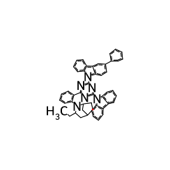 CCC1CC2CCC(C2)N1c1ccccc1-c1nc(-n2c3ccccc3c3ccccc32)nc(-n2c3ccccc3c3cc(-c4ccccc4)ccc32)n1